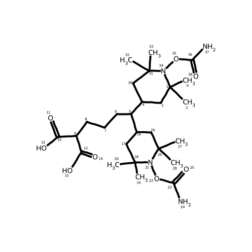 CC1(C)CC(C(CCCC(C(=O)O)C(=O)O)C2CC(C)(C)N(OC(N)=O)C(C)(C)C2)CC(C)(C)N1OC(N)=O